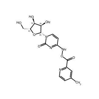 Cc1ccnc(C(=O)ONc2ccn([C@@H]3O[C@H](CO)[C@@H](O)[C@H]3O)c(=O)n2)c1